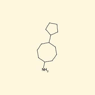 NC1CCCC(C2CCCC2)CCC1